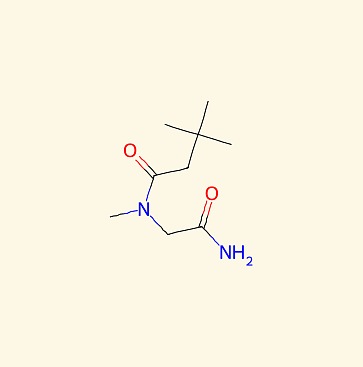 CN(CC(N)=O)C(=O)CC(C)(C)C